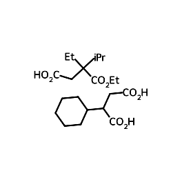 CCOC(=O)C(CC)(CC(=O)O)C(C)C.O=C(O)CC(C(=O)O)C1CCCCC1